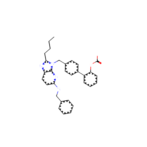 CCCCc1nc2ccc(NCc3ccccc3)nc2n1Cc1ccc(-c2ccccc2OC(=O)O)cc1